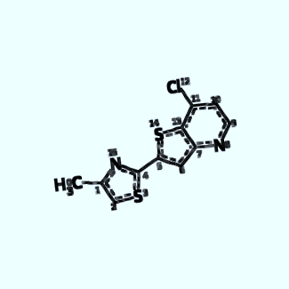 Cc1csc(-c2cc3nccc(Cl)c3s2)n1